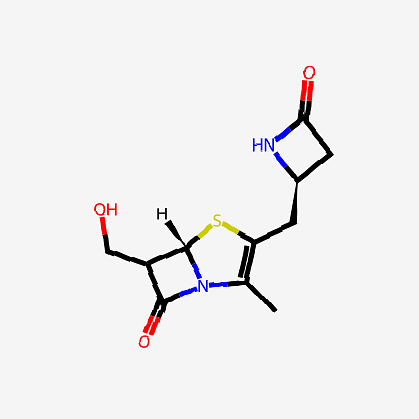 CC1=C(C[C@@H]2CC(=O)N2)S[C@H]2C(CO)C(=O)N12